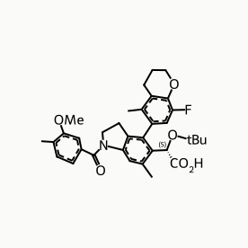 COc1cc(C(=O)N2CCc3c2cc(C)c([C@H](OC(C)(C)C)C(=O)O)c3-c2cc(F)c3c(c2C)CCCO3)ccc1C